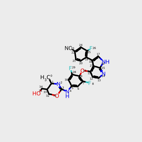 CC1N=C(Nc2cc(F)c(Oc3ccnc4[nH]cc(-c5ccc(C#N)cc5F)c34)c(F)c2)OCC1CO